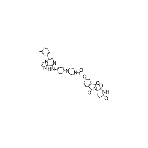 Cc1cccc(-c2cnc(Nc3ccc(N4CCN(C(=O)COc5ccc6c(c5)C(=O)N(C5CCC(=O)NC5=O)C6=O)CC4)cc3)c3nccn23)c1